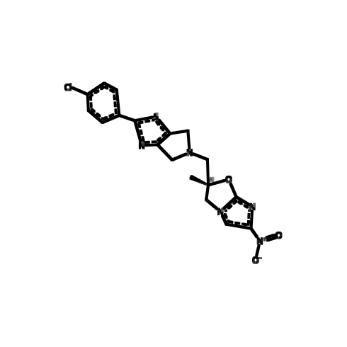 C[C@]1(CN2Cc3nc(-c4ccc(Cl)cc4)sc3C2)Cn2cc([N+](=O)[O-])nc2O1